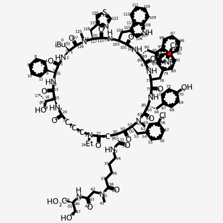 CC[C@H](C)[C@@H]1NC(=O)[C@H](c2ccccc2)NC(=O)[C@H]([C@@H](C)O)NC(=O)CCCN(CC)C(=O)C[C@@H](C(=O)NCCCCC(=O)N(C)CC(=O)N[C@@H](CO)C(=O)O)C(=O)[C@H](Cc2cccc(Cl)c2)N(C)C(=O)[C@@H](Cc2ccc(O)cc2)NC(=O)C(Cc2ccc(C(F)(F)F)cc2)NC(=O)[C@@H](Cc2c[nH]c3ccccc23)NC(=O)C(Cc2c[nH]c3ccccc23)NC(=O)[C@H](Cc2cscn2)N(C)C1=O